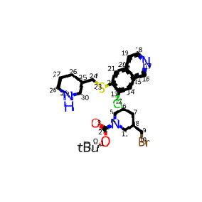 CC(C)(C)OC(=O)N1CCCC(CBr)C1.Clc1cc2cnccc2cc1SCC1CCCNC1